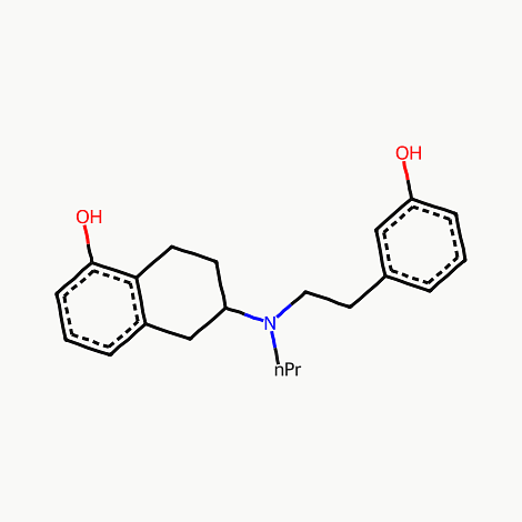 CCCN(CCc1cccc(O)c1)C1CCc2c(O)cccc2C1